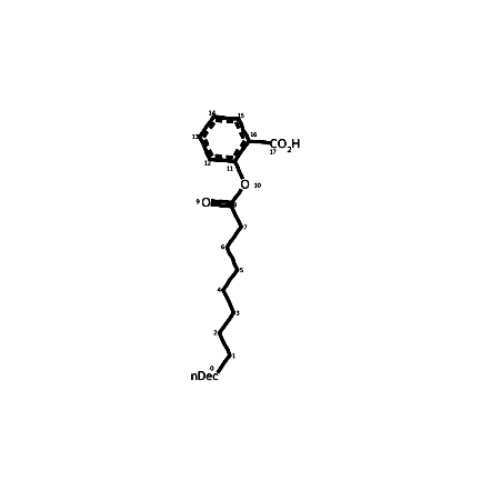 CCCCCCCCCCCCCCCCCC(=O)Oc1ccccc1C(=O)O